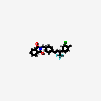 Cc1ccc(C(/C=C/c2ccc(CN3C(=O)c4ccccc4C3=O)cc2)C(F)(F)F)cc1Cl